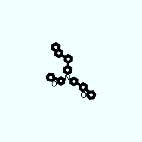 c1cc(-c2ccc(N(c3ccc(-c4ccc5c(c4)oc4ccccc45)cc3)c3ccc4oc5ccccc5c4c3)cc2)cc(-c2ccc3ccccc3c2)c1